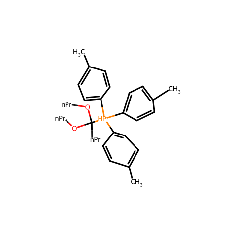 [CH2]CCC(OCCC)(OCCC)[PH](c1ccc(C)cc1)(c1ccc(C)cc1)c1ccc(C)cc1